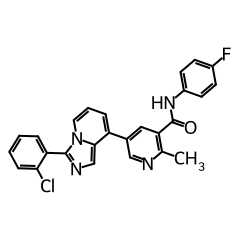 Cc1ncc(-c2cccn3c(-c4ccccc4Cl)ncc23)cc1C(=O)Nc1ccc(F)cc1